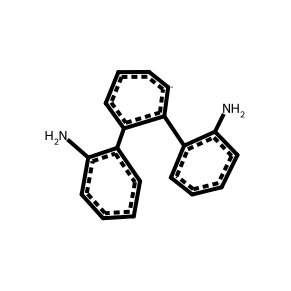 Nc1ccccc1-c1[c]cccc1-c1ccccc1N